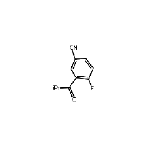 CC(C)C(=O)c1cc(C#N)ccc1F